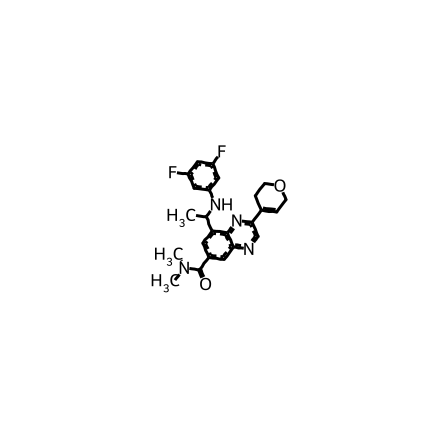 CC(Nc1cc(F)cc(F)c1)c1cc(C(=O)N(C)C)cc2ncc(C3=CCOCC3)nc12